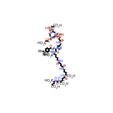 CC(C)(C)[SiH](c1ccc(C(=O)NC[C@@H](C(=O)N[C@@H](CCCCNC(=O)CCC(=O)NCCC[C@@H](NC(=O)CC[C@H](NC(=O)N[C@@H](CCC(=O)O)C(=O)O)C(=O)O)C(=O)O)C(=O)O)n2cc(CNC(=O)CC[PH](O)(O)CN3CCN(CPCCC(=O)O)CCN(CP(=O)(O)CCC(=O)O)CC3)nn2)cc1)C(C)(C)C